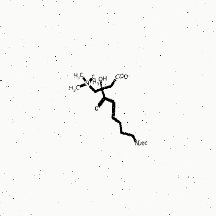 CCCCCCCCCCCCC/C=C/C(=O)[C@@](O)(CC(=O)[O-])C[N+](C)(C)C